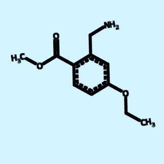 CCOc1ccc(C(=O)OC)c(CN)c1